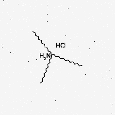 CCCCCCCCCCCCCC(N)(CCCCCCCCCCCC)CCCCCCCCCCCC.Cl